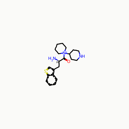 N[C@H](Cc1csc2ccccc12)C(=O)[N+]1(C2CCNCC2)CCCCC1